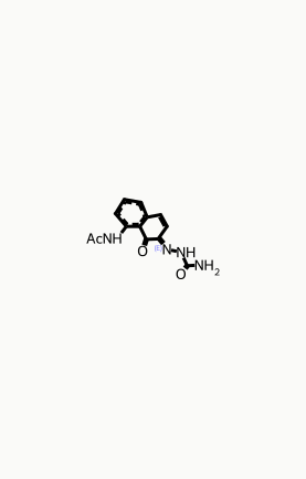 CC(=O)Nc1cccc2c1C(=O)/C(=N/NC(N)=O)C=C2